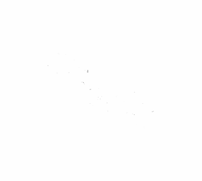 C[C@H](NC[C@H]1CN(c2ccc(N3CCOCC3)c(F)c2)C(=O)O1)c1ccccc1